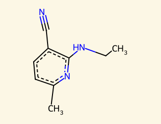 CCNc1nc(C)ccc1C#N